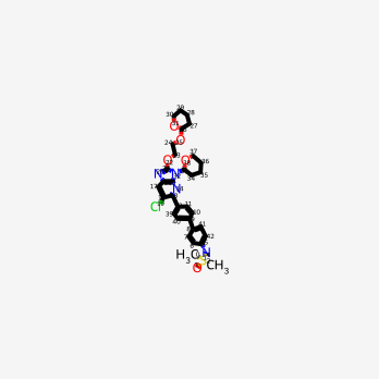 CS(C)(=O)=Nc1ccc(-c2ccc(-c3nc4c(cc3Cl)nc(OCCOC3CCCCO3)n4C3CCCCO3)cc2)cc1